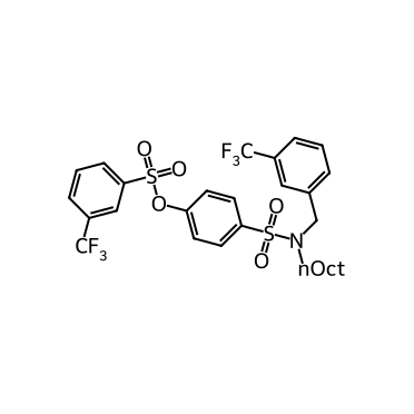 CCCCCCCCN(Cc1cccc(C(F)(F)F)c1)S(=O)(=O)c1ccc(OS(=O)(=O)c2cccc(C(F)(F)F)c2)cc1